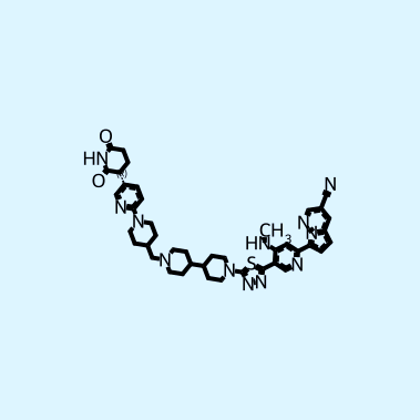 CNc1cc(-c2ccc3cc(C#N)cnn23)ncc1-c1nnc(N2CCC(C3CCN(CC4CCN(c5ccc([C@H]6CCC(=O)NC6=O)cn5)CC4)CC3)CC2)s1